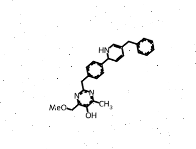 COCc1nc(Cc2ccc(C3C=CC(Cc4ccccc4)=CN3)cc2)nc(C)c1O